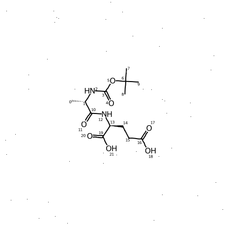 C[C@H](NC(=O)OC(C)(C)C)C(=O)N[C@@H](CCC(=O)O)C(=O)O